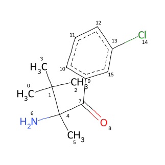 CC(C)(C)C(C)(N)C(=O)c1cccc(Cl)c1